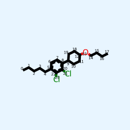 CCCCCc1ccc(C2CCC(OCCCC)CC2)c(Cl)c1Cl